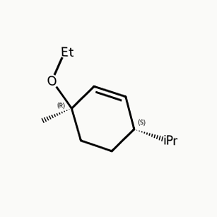 CCO[C@@]1(C)C=C[C@H](C(C)C)CC1